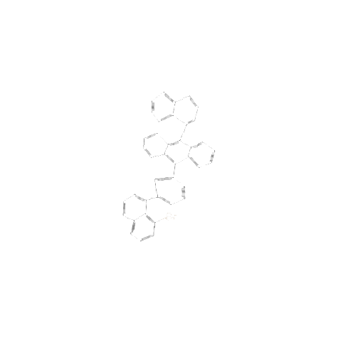 Brc1cccc2cccc(-c3cccc(-c4c5ccccc5c(-c5cccc6ccccc56)c5ccccc45)c3)c12